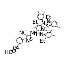 CCc1cc(C)c(C)c(CC)c1Nc1nc(N(c2nc3ccc(C)cc3s2)c2c(CC)cc(C)c(C)c2CC)cc(C)c1N=Nc1snc(-c2cccc(SOOO)c2)c1C#N